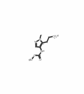 Cn1ncc(NC(=O)OC(C)(C)C)c1CCC(=O)O